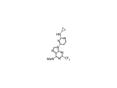 CNc1nc(C(F)(F)F)nc2c1ncn2-c1ccnc(NC2CC2)n1